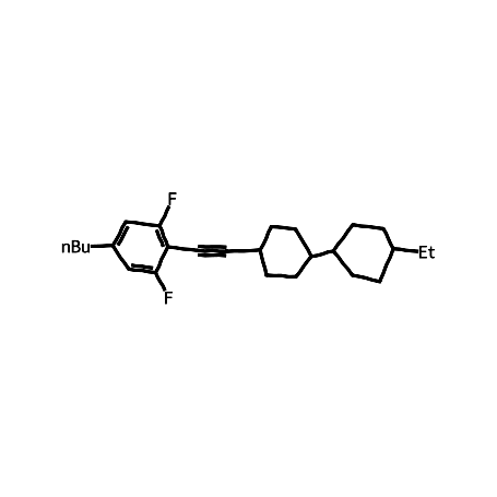 CCCCc1cc(F)c(C#CC2CCC(C3CCC(CC)CC3)CC2)c(F)c1